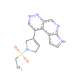 O=S(=O)(CC(F)(F)F)N1CC=C(c2cnnc3cnc4[nH]ccc4c23)C1